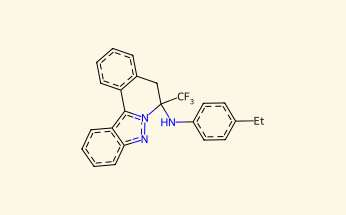 CCc1ccc(NC2(C(F)(F)F)Cc3ccccc3-c3c4ccccc4nn32)cc1